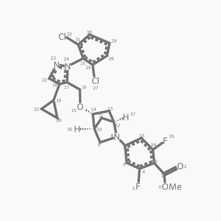 COC(=O)c1c(F)cc(N2C[C@@H]3C[C@H]2C[C@H]3OCc2c(C3CC3)cnn2-c2c(Cl)cccc2Cl)cc1F